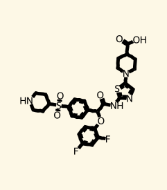 O=C(O)C1CCN(c2cnc(NC(=O)C(Oc3ccc(F)cc3F)c3ccc(S(=O)(=O)C4CCNCC4)cc3)s2)CC1